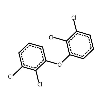 Clc1cccc(Oc2cccc(Cl)c2Cl)c1Cl